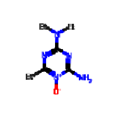 CCc1nc(N(CC)CC)nc(N)[n+]1[O-]